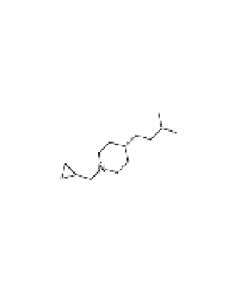 CC(C)CCC1CCN(CC2CC2)CC1